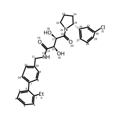 CCc1ccccc1-c1ccc(CNC(=O)[C@H](O)[C@@H](O)C(=O)N2CCC[C@@H]2c2cccc(Cl)c2)cc1